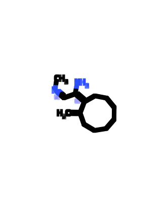 C=C1CCCCCCC/C1=C(N)/C=N\C